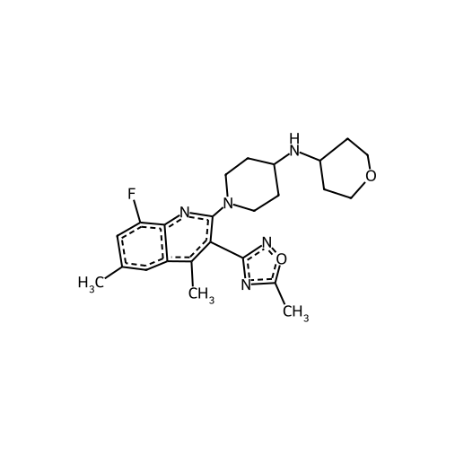 Cc1cc(F)c2nc(N3CCC(NC4CCOCC4)CC3)c(-c3noc(C)n3)c(C)c2c1